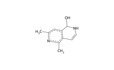 Cc1cc2c(c(C)n1)C=CNC2O